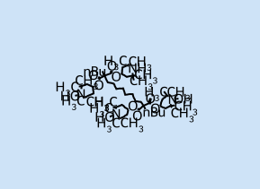 CCCCC(CCCCCCCCC(CCCC)(C(=O)OC1CC(C)(C)N(O)C(C)(C)C1)C(=O)OC1CC(C)(C)N(O)C(C)(C)C1)(C(=O)OC1CC(C)(C)NC(C)(C)C1)C(=O)OC1CC(C)(C)N(O)C(C)(C)C1